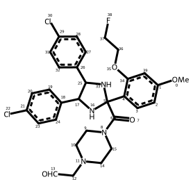 COc1ccc(C2(C(=O)N3CCN(CC=O)CC3)NC(c3ccc(Cl)cc3)C(c3ccc(Cl)cc3)N2)c(OCCF)c1